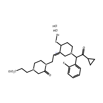 CCOC(=O)CCN1CCN(C/C=C2\CN(C(C(=O)C3CC3)c3ccccc3F)CCC2SC(C)=O)C(=O)C1.Cl.Cl